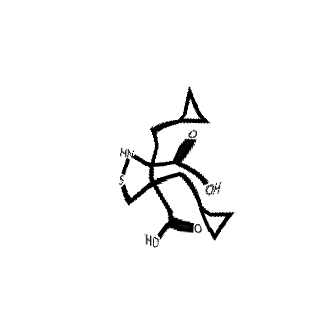 O=C(O)C1(CC2CC2)CSNC1(CC1CC1)C(=O)O